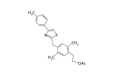 CC(=O)OCCc1cc(C)c(Cc2nc(-c3ccc(C)cc3)cs2)cc1C